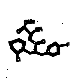 COC(=O)C(O)=CC(=O)N(Cc1ccc(F)cc1)Cc1ccccc1Cl